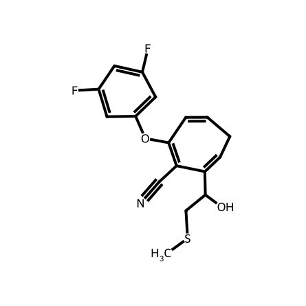 CSCC(O)C1=CCC=CC(Oc2cc(F)cc(F)c2)=C1C#N